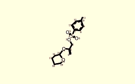 C=C(COS(=O)(=O)c1ccc(C)cc1)OC1CCCCO1